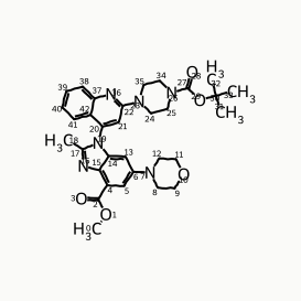 COC(=O)c1cc(N2CCOCC2)cc2c1nc(C)n2-c1cc(N2CCN(C(=O)OC(C)(C)C)CC2)nc2ccccc12